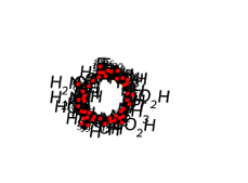 CCCC[C@H]1C(=O)N2C[C@@H](O)C[C@@H]2C(=O)N[C@@H](CC(=O)O)C(=O)N[C@@H](C(C)C)C(=O)N(C)[C@@H](Cc2ccccc2)C(=O)N[C@@H](CCC(=O)O)C(=O)N2C[C@H](O)C[C@@H]2C(=O)N[C@@H](Cc2c[nH]c3ccccc23)C(=O)N[C@@H](Cc2ccc(O)cc2)C(=O)N[C@@H](CCCN)C(=O)N[C@H](C(=O)NCC(N)=O)CSCC(=O)N[C@@H](Cc2cc(F)c(F)c(F)c2)C(=O)N(C)[C@@H](Cc2ccccc2)C(=O)N1C